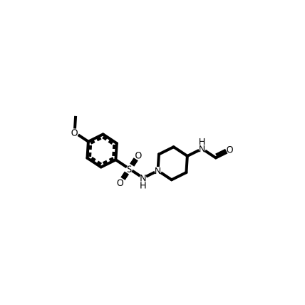 COc1ccc(S(=O)(=O)NN2CCC(NC=O)CC2)cc1